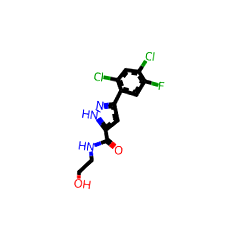 O=C(NCCO)c1cc(-c2cc(F)c(Cl)cc2Cl)n[nH]1